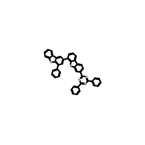 c1ccc(-c2nc(-c3ccccc3)nc(-c3ccc4c(c3)sc3c(-c5cc(-c6ccccc6)c6oc7ccccc7c6c5)cccc34)n2)cc1